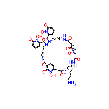 NCCCC[C@H]1CNC(=O)c2ccc(c(=O)n2O)C(=O)NCCCN(C(=O)c2cccc(=O)n2O)N(C(=O)c2cccc(=O)n2O)CCCNC(=O)c2ccc(n(O)c2=O)C(=O)N1